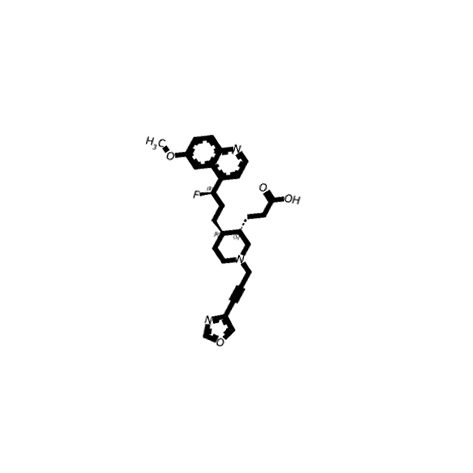 COc1ccc2nccc([C@H](F)CC[C@@H]3CCN(CC#Cc4cocn4)C[C@H]3CCC(=O)O)c2c1